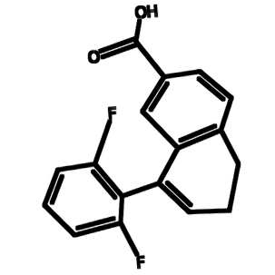 O=C(O)c1ccc2c(c1)C(c1c(F)cccc1F)=CCC2